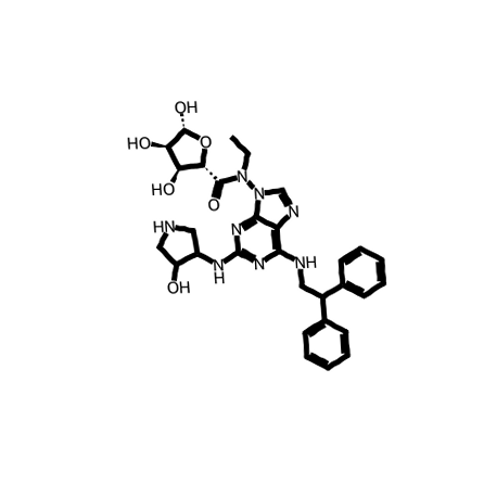 CCN(C(=O)[C@H]1O[C@@H](O)[C@H](O)[C@@H]1O)n1cnc2c(NCC(c3ccccc3)c3ccccc3)nc(NC3CNCC3O)nc21